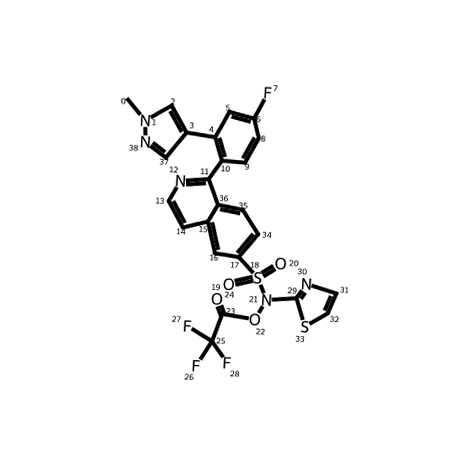 Cn1cc(-c2cc(F)ccc2-c2nccc3cc(S(=O)(=O)N(OC(=O)C(F)(F)F)c4nccs4)ccc23)cn1